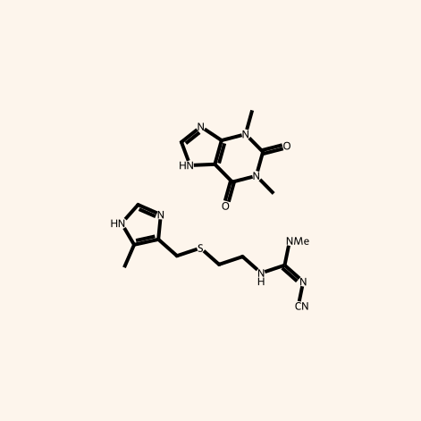 CN/C(=N/C#N)NCCSCc1nc[nH]c1C.Cn1c(=O)c2[nH]cnc2n(C)c1=O